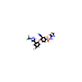 N#Cc1cc(S(=O)(=O)Nc2cscn2)ccc1Oc1ccc(Cl)cc1-c1cnn(C(F)F)c1